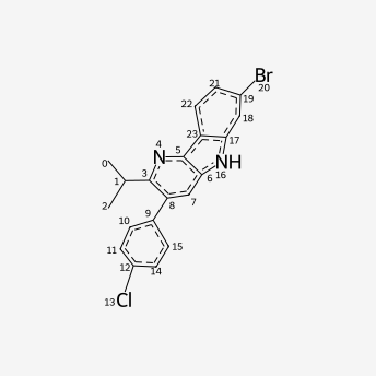 CC(C)c1nc2c(cc1-c1ccc(Cl)cc1)[nH]c1cc(Br)ccc12